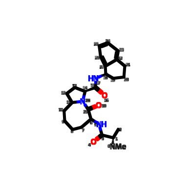 CN[C@@H](C)C(=O)NC1CCCCC2CC[C@@H](C(=O)N[C@@H]3CCCc4ccccc43)N2C1=O